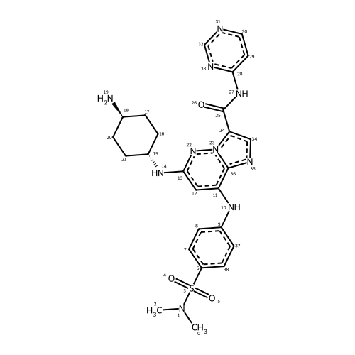 CN(C)S(=O)(=O)c1ccc(Nc2cc(N[C@H]3CC[C@H](N)CC3)nn3c(C(=O)Nc4ccncn4)cnc23)cc1